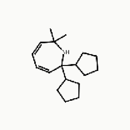 CC1(C)C=CC=CC(C2CCCC2)(C2CCCC2)N1